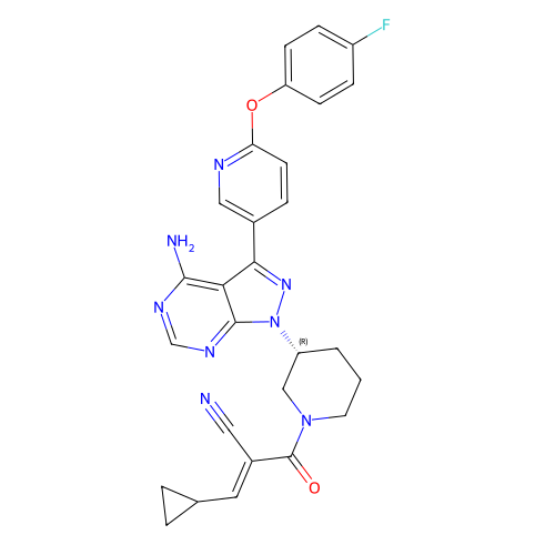 N#CC(=CC1CC1)C(=O)N1CCC[C@@H](n2nc(-c3ccc(Oc4ccc(F)cc4)nc3)c3c(N)ncnc32)C1